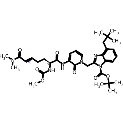 COC(=O)N[C@@H](CC/C=C/C(=O)N(C)C)C(=O)Nc1cccn(Cc2nc3c(CC(C)(C)C)cccc3n2C(=O)OC(C)(C)C)c1=O